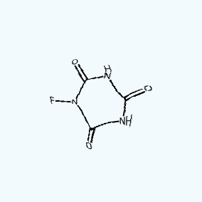 O=c1[nH]c(=O)n(F)c(=O)[nH]1